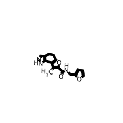 Cc1c(C(=O)NCc2ccco2)oc2c1-c1[nH]ncc1CC2